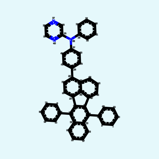 c1ccc(-c2c3c(c(-c4ccccc4)c4ccccc24)-c2ccc(-c4ccc(N(c5ccccc5)c5cnccn5)cc4)c4cccc-3c24)cc1